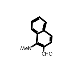 CNc1c(C=O)ccc2ccccc12